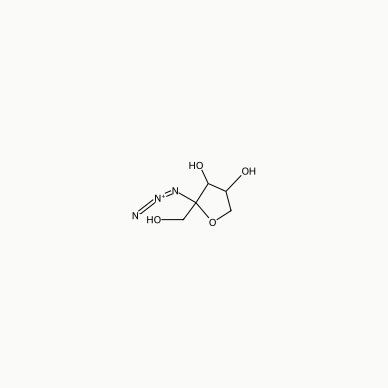 [N-]=[N+]=NC1(CO)OCC(O)C1O